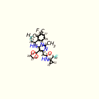 Cc1nc(CC(=O)NC2(CF)CC2)c(C2OCCO2)c(NC(CF)c2cccc(C(F)(F)F)c2C)n1